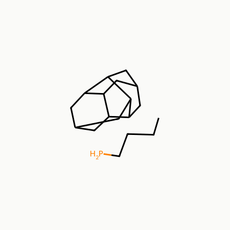 C1C2CC3C4CC5CC(C14)C(C2)C3C5.CCCCP